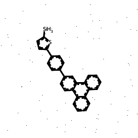 [SiH3]c1ccc(-c2ccc(-c3ccc4c5ccccc5c5ccccc5c4c3)cc2)s1